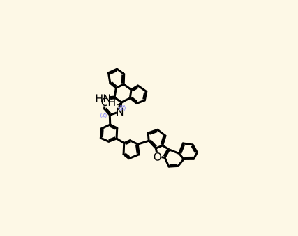 C/C=C(\N=C1/C(=N)c2ccccc2-c2ccccc21)c1cccc(-c2cccc(-c3cccc4c3oc3ccc5ccccc5c34)c2)c1